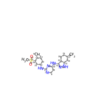 Cc1ccc(Nc2nccc(Nc3n[nH]c4cc(C(F)(F)F)ccc34)n2)cc1S(C)(=O)=O